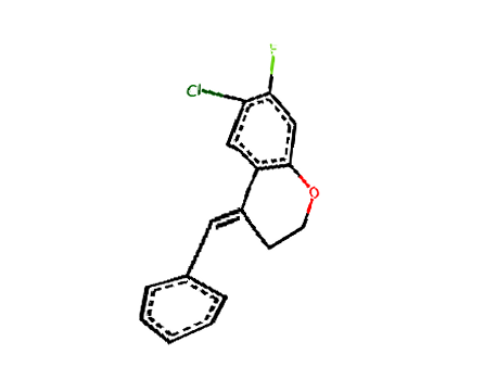 Fc1cc2c(cc1Cl)C(=Cc1ccccc1)CCO2